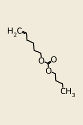 C=CCCCCOC(=O)OCCCC